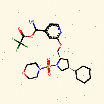 NC(OC(=O)C(F)(F)F)c1ccnc(OC[C@@H]2C[C@H](C3CCCCC3)CN2S(=O)(=O)N2CCOCC2)c1